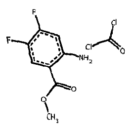 COC(=O)c1cc(F)c(F)cc1N.O=C(Cl)Cl